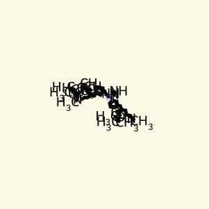 CNCCCC(Cc1cccc(/C(=C/Nc2cccc(CC(CCCN(C)C(=O)OC(C)(C)C)C(=O)OC(C)(C)C)c2)N=N)c1)C(=O)OC(C)(C)C